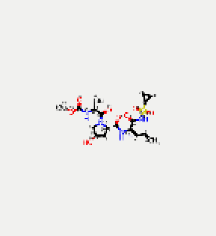 C=C/C=C(/NC(=O)[C@@H]1C[C@@H](O)CN1C(=O)[C@@H](NC(=O)OC(C)(C)C)C(C)(C)C)C(=O)NS(=O)(=O)C1CC1